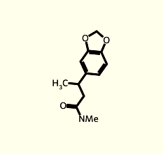 CNC(=O)CC(C)c1ccc2c(c1)OCO2